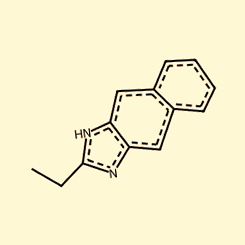 CCc1nc2cc3ccccc3cc2[nH]1